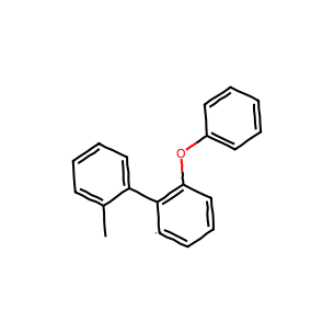 Cc1ccccc1-c1[c]cccc1Oc1ccccc1